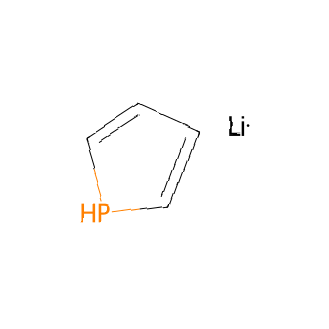 [Li].c1cc[pH]c1